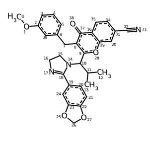 COc1cccc(Cc2c(C(C(C)C)N3CCN=C3c3ccc4c(c3)OCO4)oc3cc(C#N)ccc3c2=O)c1